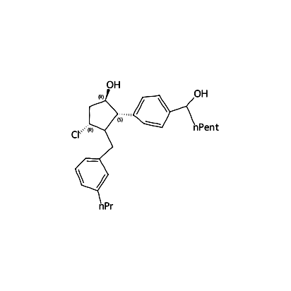 CCCCCC(O)c1ccc([C@@H]2C(Cc3cccc(CCC)c3)[C@H](Cl)C[C@H]2O)cc1